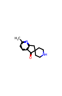 Cc1ccc2c(n1)CC1(CCNCC1)C2=O